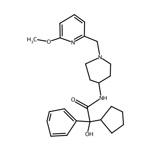 COc1cccc(CN2CCC(NC(=O)C(O)(c3ccccc3)C3CCCC3)CC2)n1